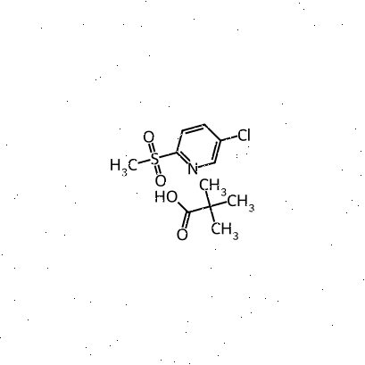 CC(C)(C)C(=O)O.CS(=O)(=O)c1ccc(Cl)cn1